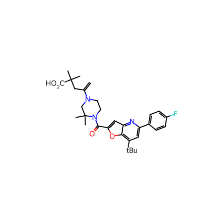 C=C(CC(C)(C)C(=O)O)N1CCN(C(=O)c2cc3nc(-c4ccc(F)cc4)cc(C(C)(C)C)c3o2)C(C)(C)C1